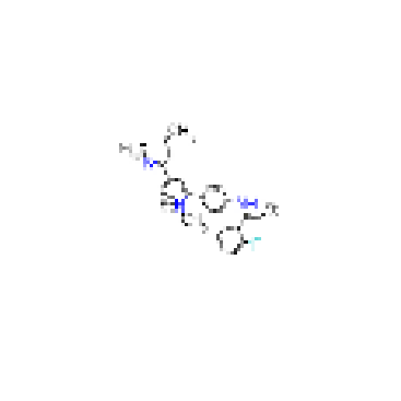 C=CCC(=N\C)/C(/C=C(/c1ccc(N/C(=C\CC)c2ccccc2F)cc1)N(C)CC)=C/CC